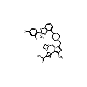 Cc1nc(CN2CCC(c3cccc4c3O[C@@](C)(c3ccc(Cl)cc3F)O4)CC2)n(C[C@@H]2CCO2)c1C12CC(C(=O)O)(C1)C2